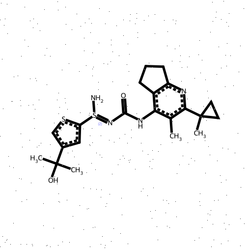 Cc1c(C2(C)CC2)nc2c(c1NC(=O)/N=S(\N)c1cc(C(C)(C)O)cs1)CCC2